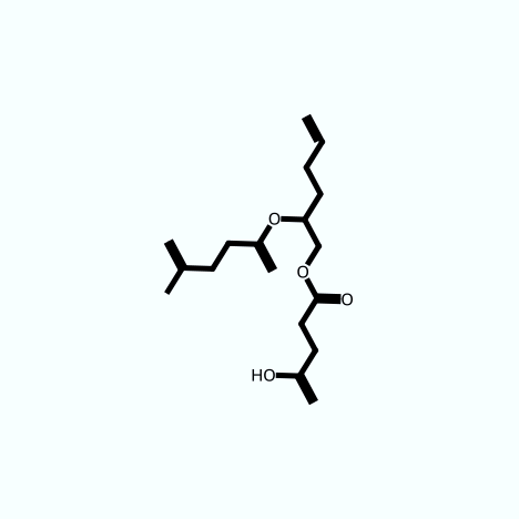 C=CCCC(COC(=O)CCC(=C)O)OC(=C)CCC(=C)C